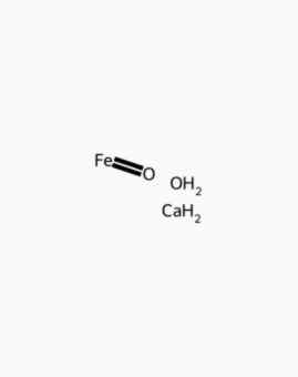 O.[CaH2].[O]=[Fe]